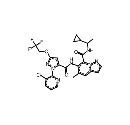 Cc1cc2ccnn2c(C(=O)NC(C)C2CC2)c1NC(=O)c1cc(OCC(F)(F)F)nn1-c1ncccc1Cl